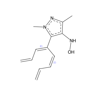 C=C/C=C\C(=C/C=C)c1c(NO)c(C)nn1C